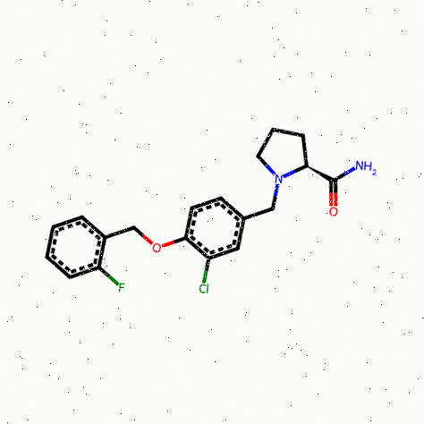 NC(=O)[C@@H]1CCCN1Cc1ccc(OCc2ccccc2F)c(Cl)c1